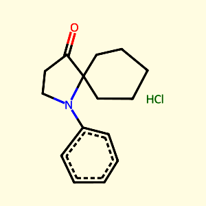 Cl.O=C1CCN(c2ccccc2)C12CCCCC2